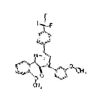 COc1cccc(N(CCc2ccc(C(F)(F)F)cc2)C(=O)C(N)c2ccccc2OC)c1